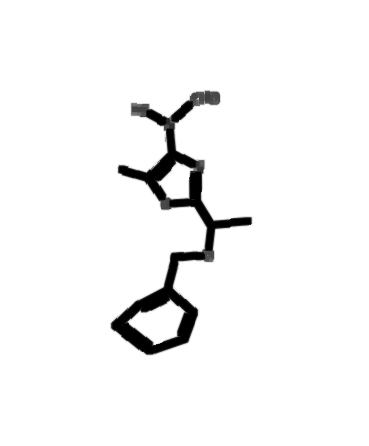 Cc1oc(C(C)OCc2ccccc2)nc1N(S)C=O